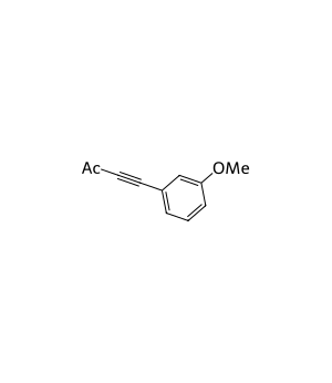 COc1cccc(C#CC(C)=O)c1